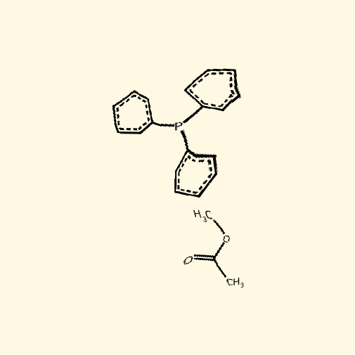 COC(C)=O.c1ccc(P(c2ccccc2)c2ccccc2)cc1